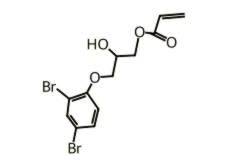 C=CC(=O)OCC(O)COc1ccc(Br)cc1Br